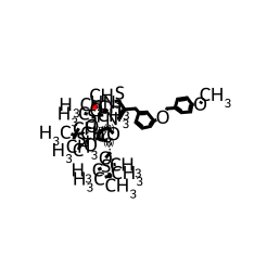 COc1ccc(COc2cccc(Cc3cn([C@@H]4O[C@H](CO[Si](C)(C)C(C)(C)C)[C@@H](O[Si](C)(C)C(C)(C)C)[C@H]4O[Si](C)(C)C(C)(C)C)c(=O)[nH]c3=S)c2)cc1